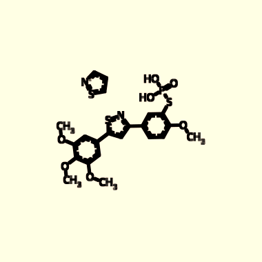 COc1ccc(-c2cc(-c3cc(OC)c(OC)c(OC)c3)sn2)cc1SP(=O)(O)O.c1cnsc1